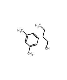 CCCCO.Cc1cccc(C)c1